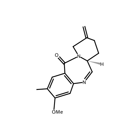 C=C1CC[C@H]2C=Nc3cc(OC)c(C)cc3C(=O)N2C1